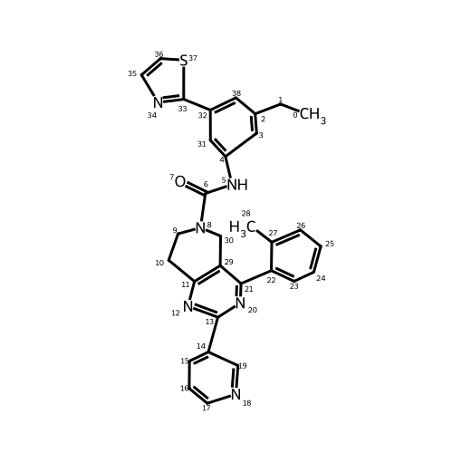 CCc1cc(NC(=O)N2CCc3nc(-c4cccnc4)nc(-c4ccccc4C)c3C2)cc(-c2nccs2)c1